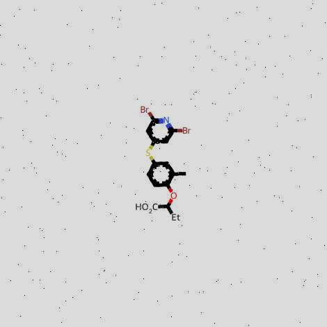 CCC(Oc1ccc(Sc2cc(Br)nc(Br)c2)cc1C)C(=O)O